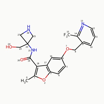 Cc1oc2ccc(OCc3cccnc3C(F)(F)F)cc2c1C(=O)NC1(CO)CNC1